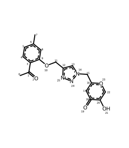 CC(=O)c1ccc(C)cc1OCc1cn(Cc2cc(=O)c(O)co2)nn1